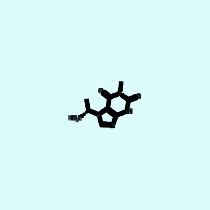 C[C@@H](C(=O)O)n1cnc2[nH]c(=O)n(C)c(=O)c21